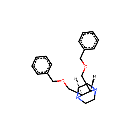 c1ccc(COC[C@H]2[C@H](COCc3ccccc3)N3CCN2CC3)cc1